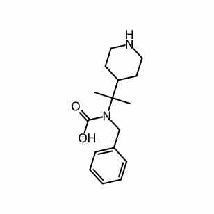 CC(C)(C1CCNCC1)N(Cc1ccccc1)C(=O)O